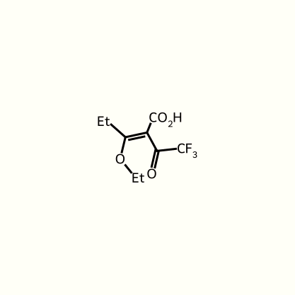 CCOC(CC)=C(C(=O)O)C(=O)C(F)(F)F